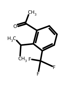 CC(=O)c1cccc(C(F)(F)F)c1C(C)C